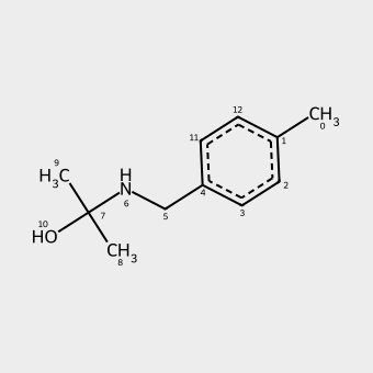 Cc1ccc(CNC(C)(C)O)cc1